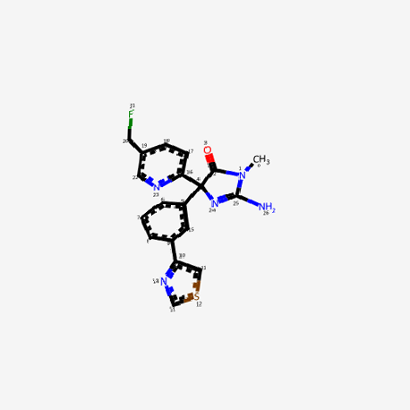 CN1C(=O)C(c2cccc(-c3cscn3)c2)(c2ccc(CF)cn2)N=C1N